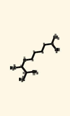 CC(O)CCCCOC(C)C(C)C